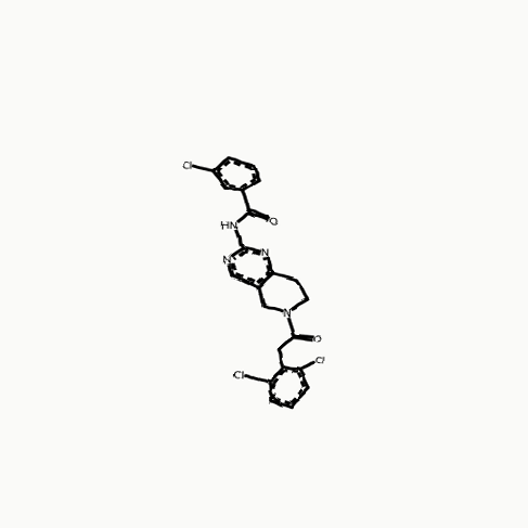 O=C(Nc1ncc2c(n1)CCN(C(=O)Cc1c(Cl)cccc1Cl)C2)c1cccc(Cl)c1